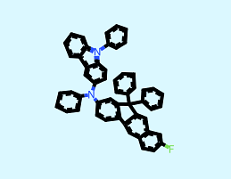 Fc1ccc2cc3c(cc2c1)C(c1ccccc1)(c1ccccc1)c1cc(N(c2ccccc2)c2ccc4c(c2)c2ccccc2n4-c2ccccc2)ccc1-3